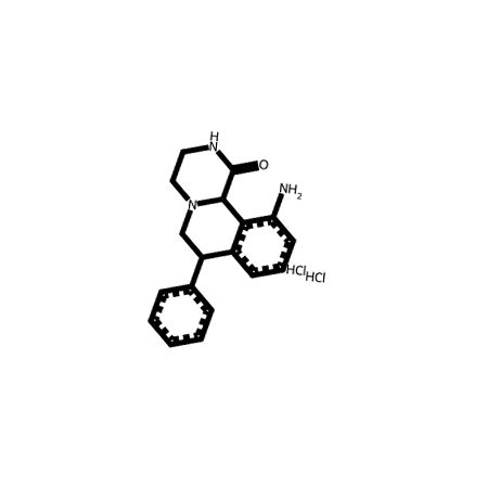 Cl.Cl.Nc1cccc2c1C1C(=O)NCCN1CC2c1ccccc1